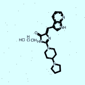 Cl.Cl.Cl.O=C1NC(N2CCC(N3CCCC3)CC2)=NC1=Cc1c[nH]c2ncccc12